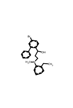 CCc1ccccc1N(C)CCC(O)c1ccc(Br)cc1-c1ccccc1